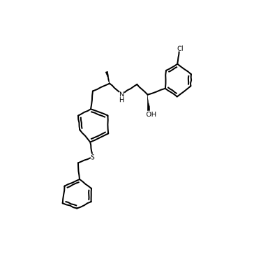 C[C@H](Cc1ccc(SCc2ccccc2)cc1)NC[C@H](O)c1cccc(Cl)c1